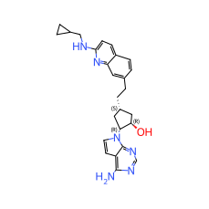 Nc1ncnc2c1ccn2[C@@H]1C[C@H](CCc2ccc3ccc(NCC4CC4)nc3c2)C[C@H]1O